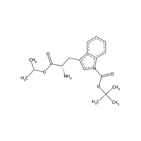 CC(C)OC(=O)[C@@H](N)Cc1cn(C(=O)OC(C)(C)C)c2ccccc12